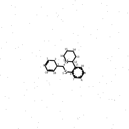 C1=CCC(CSc2ccccc2C2CCCC[N]2)C=C1